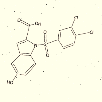 O=C(O)c1cc2cc(O)ccc2n1S(=O)(=O)c1ccc(Cl)c(Cl)c1